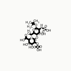 CCC1O[C@H](OC(C)(C)C)C(NS(=O)(=O)O)[C@H](O)[C@@H]1O[C@@H]1OC(C(=O)O)[C@@H](O)[C@@H](O)C1OS(=O)(=O)O